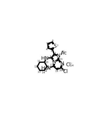 CC(=O)[n+]1c(-c2cccs2)c(NC2CCCCC2)n2c(N)cc(Cl)nc21.[Cl-]